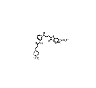 CCOC(=O)C(C#N)CC1SC(CCNc2cccc(NC(=O)CCN3CCS(=O)(=O)CC3)c2)C(=O)N1CC